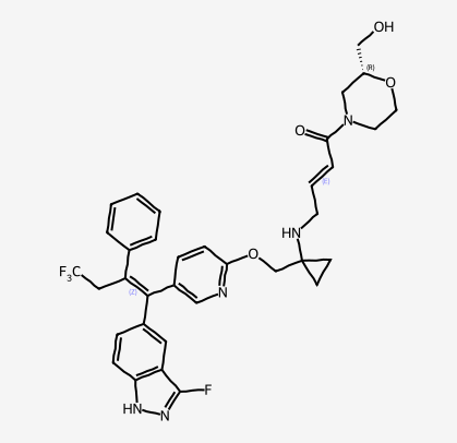 O=C(/C=C/CNC1(COc2ccc(/C(=C(/CC(F)(F)F)c3ccccc3)c3ccc4[nH]nc(F)c4c3)cn2)CC1)N1CCO[C@@H](CO)C1